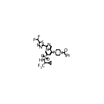 CC(C)C(=O)N1CCN(c2cc(S(=O)(=O)NC(C3CC3)C(F)(F)F)cn3c(-c4nnc(C(F)F)s4)ncc23)CC1